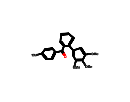 COc1cc(-c2ccccc2C(=O)c2ccc(C(C)(C)C)cc2)cc(OC)c1OC